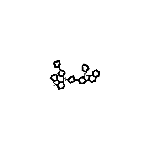 c1ccc(-c2ccc(N(c3ccc(-c4ccc5c6ccc7ccccc7c6n(-c6ccccc6)c5c4)cc3)c3cccc4sc5ccccc5c34)cc2)cc1